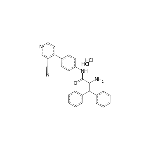 Cl.Cl.N#Cc1cnccc1-c1ccc(NC(=O)C(N)C(c2ccccc2)c2ccccc2)cc1